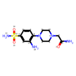 NC(=O)CN1CCN(c2ccc(S(N)(=O)=O)cc2N)CC1